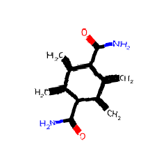 C=C1C(=C)C(C(N)=O)C(=C)C(=C)C1C(N)=O